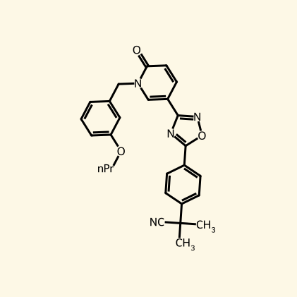 CCCOc1cccc(Cn2cc(-c3noc(-c4ccc(C(C)(C)C#N)cc4)n3)ccc2=O)c1